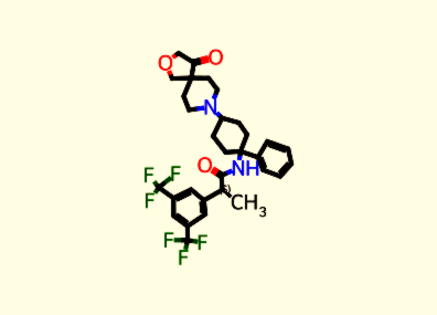 C[C@H](C(=O)NC1(c2ccccc2)CCC(N2CCC3(CC2)COCC3=O)CC1)c1cc(C(F)(F)F)cc(C(F)(F)F)c1